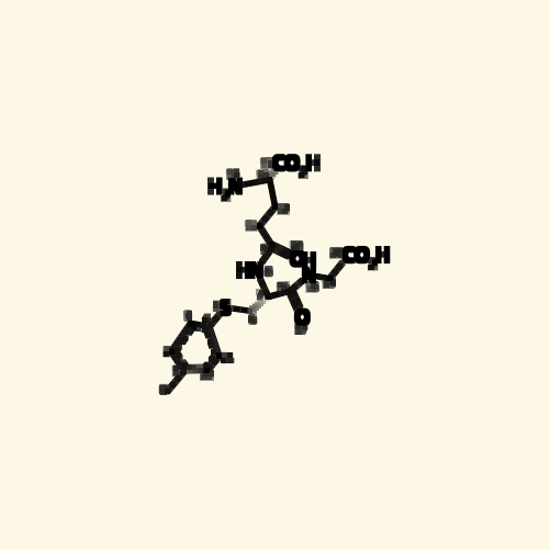 Cc1ccc(SC[C@H](NC(=O)CC[C@H](N)C(=O)O)C(=O)NCC(=O)O)cc1